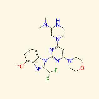 COc1cccc2c1nc(C(F)F)n2-c1nc(N2CCOCC2)cc(N2CCNC(N(C)C)C2)n1